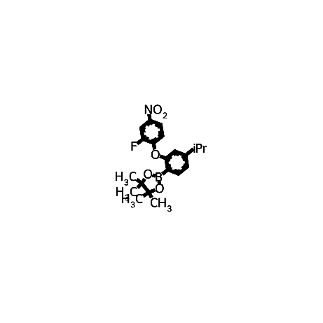 CC(C)c1ccc(B2OC(C)(C)C(C)(C)O2)c(Oc2ccc([N+](=O)[O-])cc2F)c1